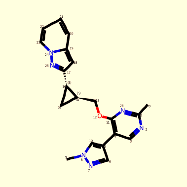 Cc1ncc(-c2cnn(C)c2)c(OC[C@H]2C[C@@H]2c2cc3ccccn3n2)n1